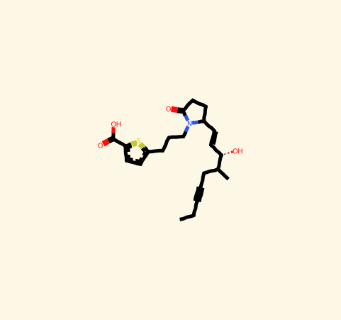 CCC#CCC(C)[C@@H](O)C=CC1CCC(=O)N1CCCc1ccc(C(=O)O)s1